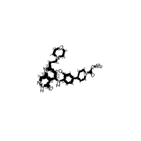 COc1cc(C2CCN(C(=O)OC(C)(C)C)CC2)ccc1Nc1cc(CCN2CCOCC2)nc2cn[nH]c(=O)c12